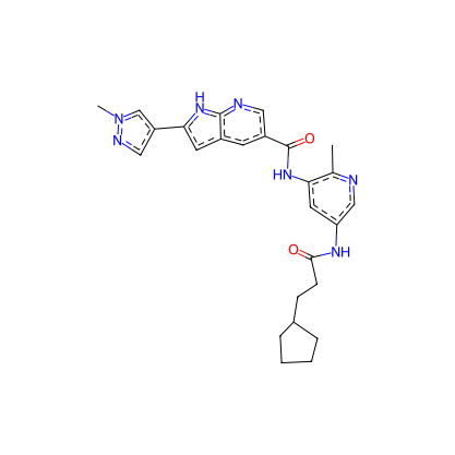 Cc1ncc(NC(=O)CCC2CCCC2)cc1NC(=O)c1cnc2[nH]c(-c3cnn(C)c3)cc2c1